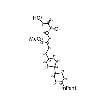 C=C(CO)C(=O)OCC(CCC1CCC(C2CCC(CCCCC)CC2)CC1)COC